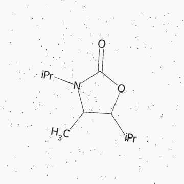 CC(C)C1OC(=O)N(C(C)C)C1C